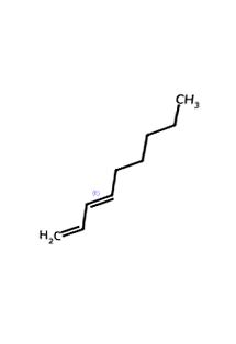 C=C/C=C/CCCCC